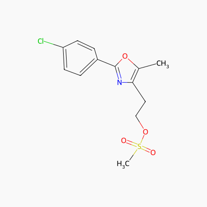 Cc1oc(-c2ccc(Cl)cc2)nc1CCOS(C)(=O)=O